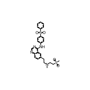 CN(CCc1ccc2ncnc(Nc3ccc(S(=O)(=O)c4ccccc4)cc3)c2c1)CCS(C)(=O)=O